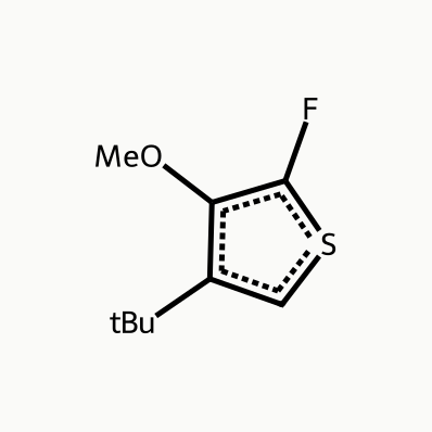 COc1c(C(C)(C)C)csc1F